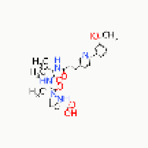 CC(C)[C@H](NC(=O)CCc1ccc(-c2cccc([C@@H](C)O)c2)nc1)C(=O)N[C@@H](C)C(=O)N1CCC[C@@H](C(=O)O)N1